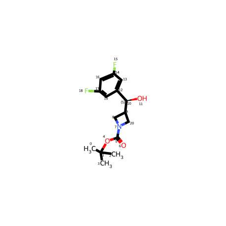 CC(C)(C)OC(=O)N1CC([C@H](O)c2cc(F)cc(F)c2)C1